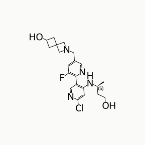 C[C@@H](CCO)Nc1cc(Cl)ncc1-c1ncc(CN2CC3(CC(O)C3)C2)cc1F